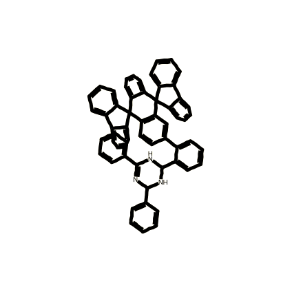 c1ccc(C2=NC(c3ccccc3)NC(c3ccccc3-c3ccc4c(c3)C3(c5ccccc5-c5ccccc53)c3ccccc3C43c4ccccc4-c4ccccc43)N2)cc1